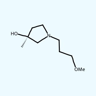 COCCCN1CC[C@](C)(O)C1